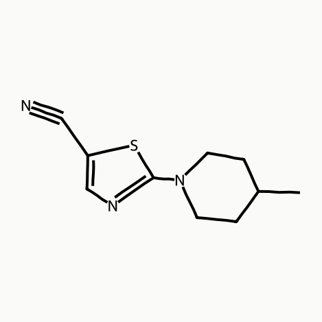 CC1CCN(c2ncc(C#N)s2)CC1